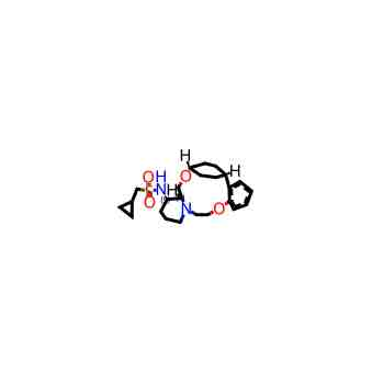 O=S(=O)(CC1CC1)N[C@H]1CCCN2CCOc3ccccc3[C@H]3CC[C@H](CC3)OC[C@@H]12